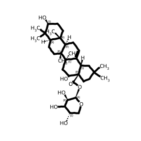 CC1(C)CC[C@]2(C(=O)O[C@H]3OC[C@H](O)C(O)[C@H]3O)C(O)C[C@]3(C)C(=CC[C@@H]4[C@@]5(C)CC[C@H](O)C(C)(C)[C@@H]5CC[C@]43C)[C@@H]2C1